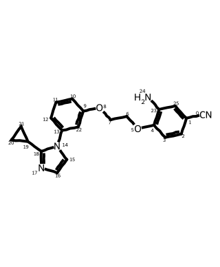 N#Cc1ccc(OCCOc2cccc(-n3ccnc3C3CC3)c2)c(N)c1